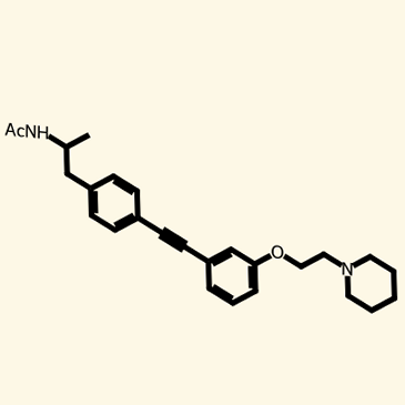 CC(=O)NC(C)Cc1ccc(C#Cc2cccc(OCCN3CCCCC3)c2)cc1